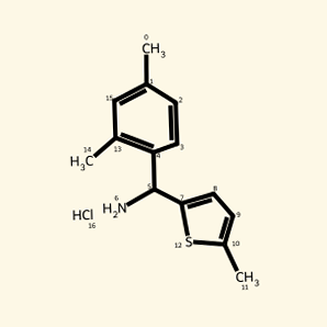 Cc1ccc(C(N)c2ccc(C)s2)c(C)c1.Cl